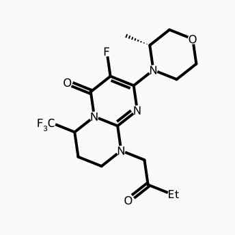 CCC(=O)CN1CCC(C(F)(F)F)n2c1nc(N1CCOC[C@H]1C)c(F)c2=O